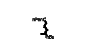 CCCCCCCCC(C)CCCC